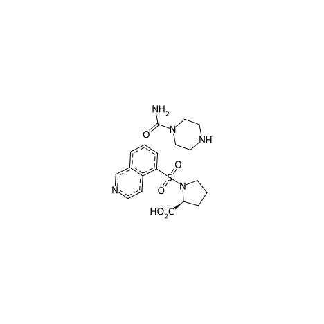 NC(=O)N1CCNCC1.O=C(O)[C@@H]1CCCN1S(=O)(=O)c1cccc2cnccc12